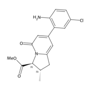 COC(=O)[C@@H]1[C@@H](C)Cc2cc(-c3cc(Cl)ccc3N)cc(=O)n21